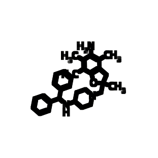 Cc1c(C)c2c(c(C)c1N)CC(C)(CN1CCC(NC(c3ccccc3)c3ccccc3)CC1)O2